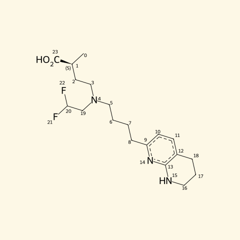 C[C@@H](CCN(CCCCc1ccc2c(n1)NCCC2)CC(F)F)C(=O)O